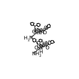 NCCCC[C@@H]1N[C@H](CNC(=O)C2Cc3ccccc3CN2)CCN(CC(c2ccccc2)c2ccccc2)C1=O.NCCCC[C@@H]1N[C@H](CNC(=O)c2cc3ccccc3o2)CCN(CC(c2ccccc2)c2ccccc2)C1=O